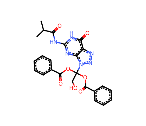 CC(C)C(=O)Nc1nc2c(nnn2C(CO)(OC(=O)c2ccccc2)OC(=O)c2ccccc2)c(=O)[nH]1